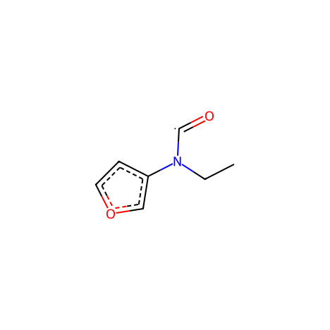 CCN([C]=O)c1ccoc1